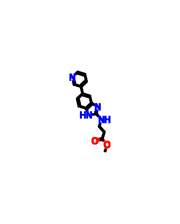 COC(=O)CCNc1nc2cc(-c3cccnc3)ccc2[nH]1